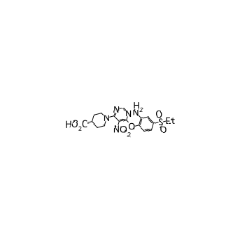 CCS(=O)(=O)c1ccc(Oc2ncnc(N3CCC(C(=O)O)CC3)c2[N+](=O)[O-])c(N)c1